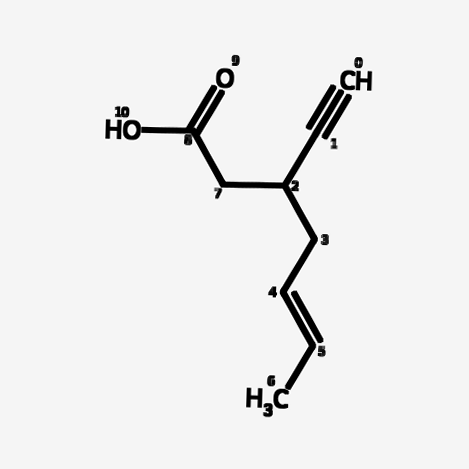 C#CC(CC=CC)CC(=O)O